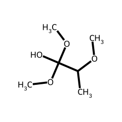 COC(C)C(O)(OC)OC